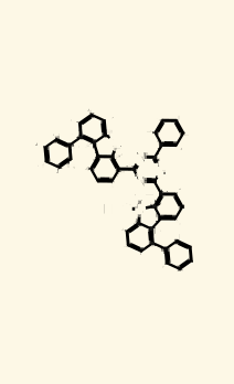 CS1(C)c2cccc(-c3ccccc3)c2-c2cccc(-c3nc(-c4ccccc4)nc(-c4cccc5c4oc4cccc(-c6ccccc6)c45)n3)c21